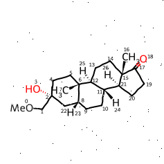 COC[C@@]1(O)CC[C@@]2(C)[C@H](CC[C@@H]3[C@@H]2CC[C@]2(C)C(=O)CC[C@@H]32)C1